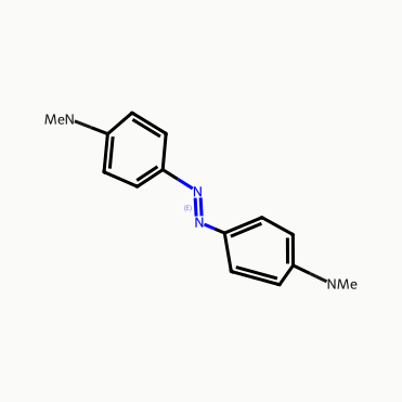 CNc1ccc(/N=N/c2ccc(NC)cc2)cc1